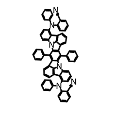 N#Cc1ccccc1N(c1ccccc1)c1cccc2c1c1cccc3c4c(-c5ccccc5)c5c(c(-c6ccccc6)c4n2c13)c1cccc2c3c(N(c4ccccc4)c4ccccc4C#N)cccc3n5c21